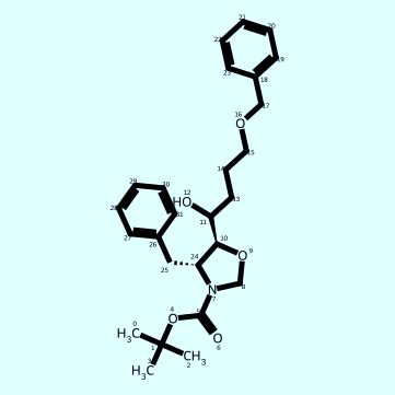 CC(C)(C)OC(=O)N1CO[C@H](C(O)CCCOCc2ccccc2)[C@H]1Cc1ccccc1